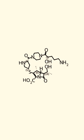 C[C@@H](O)[C@H]1C(=O)N2C(C(=O)O)=C(S[C@@H]3CN[C@H](C(=O)N4CCN(C(=O)[C@@H](O)CCCN)CC4)C3)[C@H](C)[C@H]12